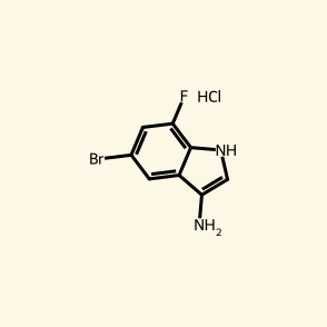 Cl.Nc1c[nH]c2c(F)cc(Br)cc12